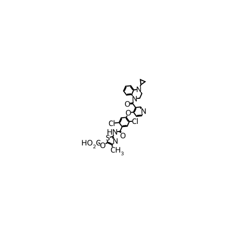 Cc1nc(NC(=O)c2cc(Cl)c(Oc3ccncc3C(=O)N3CCN(C4CC4)c4ccccc43)cc2Cl)sc1OC(=O)O